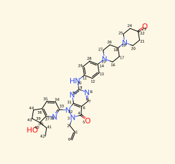 C=CCn1c(=O)c2cnc(Nc3ccc(N4CCC(N5CCC(=O)CC5)CC4)cc3)nc2n1-c1ccc2c(n1)[C@@](O)(CC)CC2